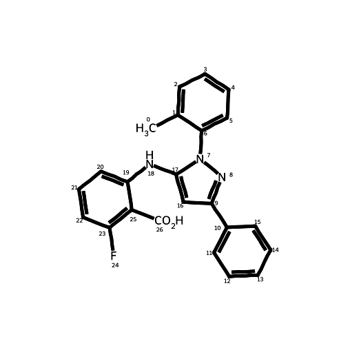 Cc1ccccc1-n1nc(-c2ccccc2)cc1Nc1cccc(F)c1C(=O)O